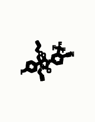 C#CCN1C(=O)N(c2ccc(C#N)c(C(F)(F)F)c2)C(=O)C1(COCC=C)c1ccc(F)cc1